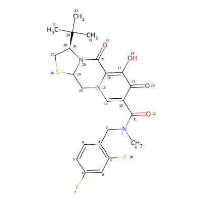 CN(Cc1ccc(F)cc1F)C(=O)c1cn2c(c(O)c1=O)C(=O)N1C(C2)SC[C@H]1C(C)(C)C